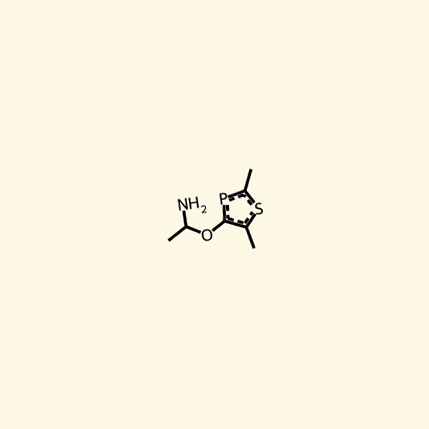 Cc1pc(OC(C)N)c(C)s1